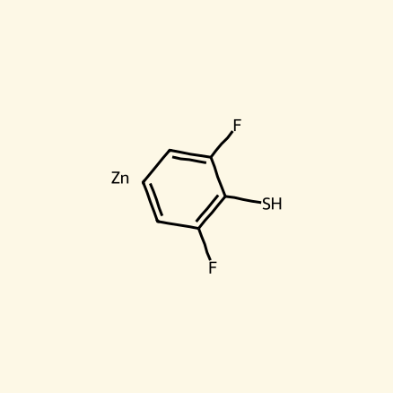 Fc1cccc(F)c1S.[Zn]